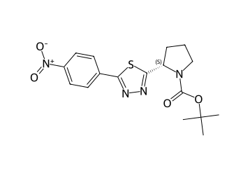 CC(C)(C)OC(=O)N1CCC[C@H]1c1nnc(-c2ccc([N+](=O)[O-])cc2)s1